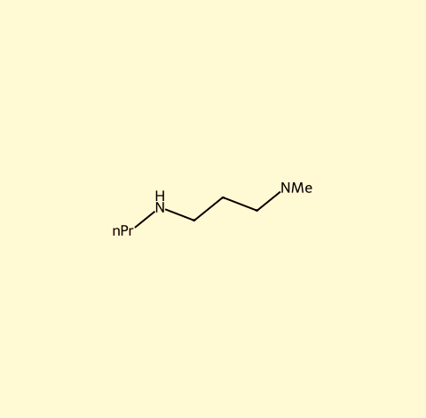 CCCNCCCNC